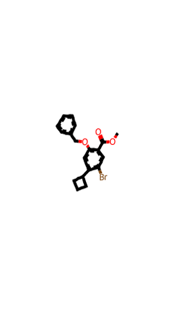 COC(=O)c1cc(Br)c(C2CCC2)cc1OCc1ccccc1